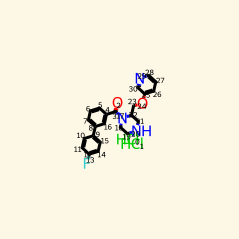 Cl.Cl.O=C(c1cccc(-c2ccc(F)cc2)c1)N1CCNCC1COc1cccnc1